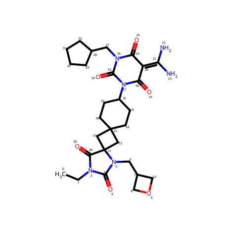 CCN1C(=O)N(CC2COC2)C2(CC3(CCC(N4C(=O)C(=C(N)N)C(=O)N(CC5CCCC5)C4=O)CC3)C2)C1=O